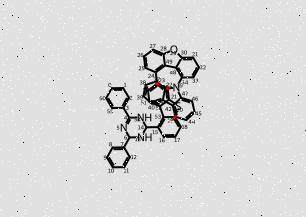 c1ccc(C2=NC(c3ccccc3)NC(c3cccc4sc5cc(-c6cccc7oc8cccc(-n9c%10ccccc%10c%10ccccc%109)c8c67)ccc5c34)N2)cc1